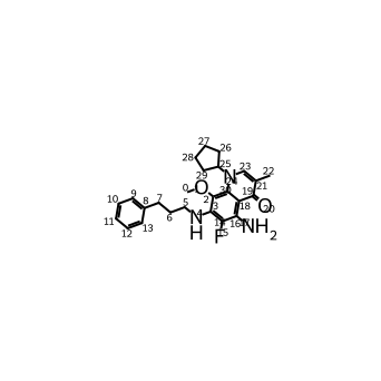 COc1c(NCCCc2ccccc2)c(F)c(N)c2c(=O)c(C)cn(C3CCCC3)c12